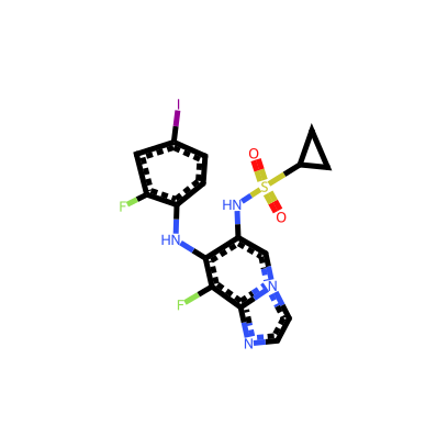 O=S(=O)(Nc1cn2ccnc2c(F)c1Nc1ccc(I)cc1F)C1CC1